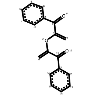 C=C(OC(=C)C(=O)c1ccccc1)C(=O)c1ccccc1